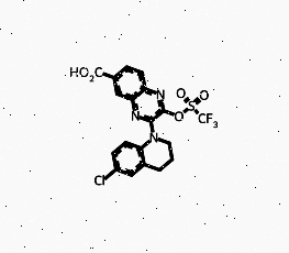 O=C(O)c1ccc2nc(OS(=O)(=O)C(F)(F)F)c(N3CCCc4cc(Cl)ccc43)nc2c1